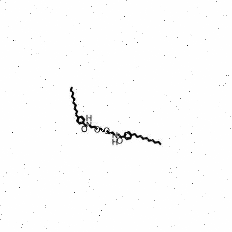 CCCCCCCCCCc1ccc(C(=O)CNCCOCCOCCNC(=O)c2ccc(CCCCCCCCCC)cc2)cc1